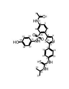 CC(=O)Nc1ccc(-c2cnc(-c3ccc(NC(=S)NC(C)C)cc3)s2)c(S(=O)(=O)Nc2ccc(O)cc2)c1